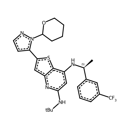 C[C@H](Nc1cc(NC(C)(C)C)nc2cc(-c3ccnn3C3CCCCO3)sc12)c1cccc(C(F)(F)F)c1